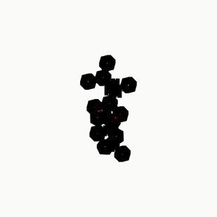 C1=CC[C@H](c2nc(-c3cc(-c4ccccc4)cc(-c4ccccc4)c3)nc(-c3cc(-c4ccccc4)c(-n4c5ccccc5c5c4ccc4c6ccc7c(c8ccccc8n7-c7ccccc7)c6n(-c6ccccc6)c45)c(-c4ccccc4)c3)n2)C=C1